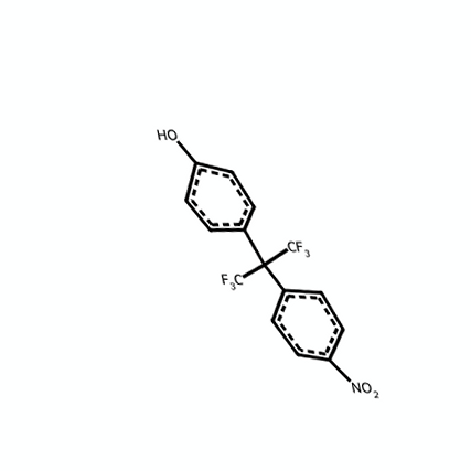 O=[N+]([O-])c1ccc(C(c2ccc(O)cc2)(C(F)(F)F)C(F)(F)F)cc1